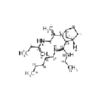 C=C(CC)NCC(=C)N1C2CC[C@@H](C2)C1/C(=N/CCCCC)NCC